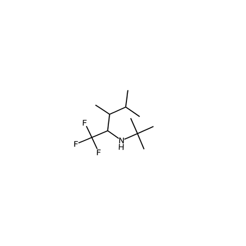 CC(C)C(C)C(NC(C)(C)C)C(F)(F)F